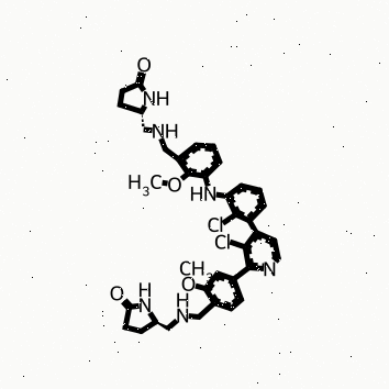 COc1cc(-c2nccc(-c3cccc(Nc4cccc(CNC[C@@H]5CCC(=O)N5)c4OC)c3Cl)c2Cl)ccc1CNC[C@H]1CCC(=O)N1